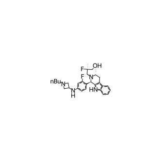 CCCCN1CC(Nc2ccc([C@@H]3c4[nH]c5ccccc5c4C[C@@H](C)N3C[C@@](C)(F)CO)c(F)c2)C1